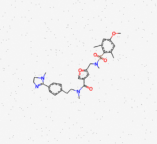 COc1cc(C)c(S(=O)(=O)N(C)Cc2cc(C(=O)N(C)CCc3ccc(C4=NCCN4C)cc3)co2)c(C)c1